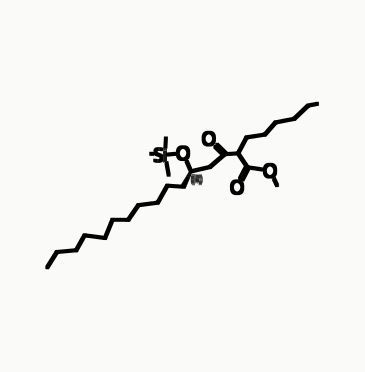 CCCCCCCCCCC[C@H](CC(=O)C(CCCCCC)C(=O)OC)O[Si](C)(C)C